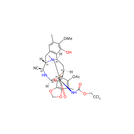 COc1c(C)cc2c(c1O)[C@H]1C[C@@H]3SC[C@H](NC(=O)OCC(Cl)(Cl)Cl)C(=O)OC[C@H](N[C@@H](C#N)[C@H](C2)N1C)c1c2c(c(C)c(OC(C)=O)c13)OCO2